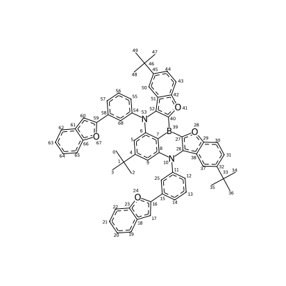 CC(C)(C)c1cc2c3c(c1)N(c1cccc(-c4cc5ccccc5o4)c1)c1c(oc4ccc(C(C)(C)C)cc14)B3c1oc3ccc(C(C)(C)C)cc3c1N2c1cccc(-c2cc3ccccc3o2)c1